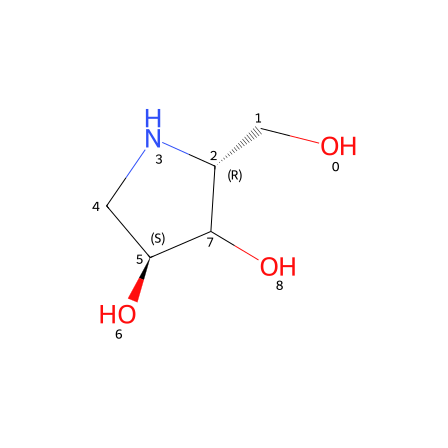 OC[C@H]1NC[C@H](O)C1O